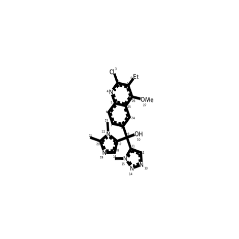 CCc1c(Cl)nc2ccc(C(O)(c3cnnn3C)c3cnc(C)n3C)cc2c1OC